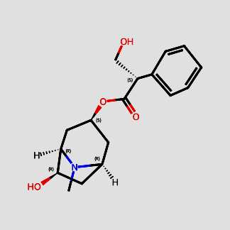 CN1[C@H]2C[C@H](OC(=O)[C@H](CO)c3ccccc3)C[C@@H]1[C@H](O)C2